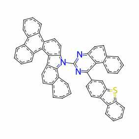 c1ccc2c(c1)ccc1nc(-n3c4ccc5c6ccccc6c6ccccc6c5c4c4ccc5ccccc5c43)nc(-c3ccc4c(c3)sc3ccccc34)c12